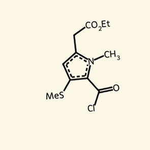 CCOC(=O)Cc1cc(SC)c(C(=O)Cl)n1C